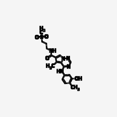 Cc1ccc(Nc2ncnn3cc(C(=O)NCCCS(C)(=O)=O)c(C)c23)cc1O